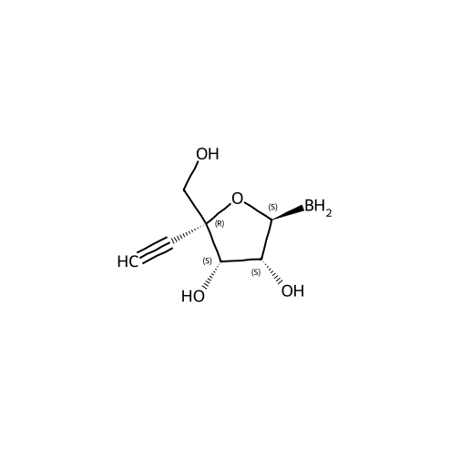 B[C@@H]1O[C@](C#C)(CO)[C@@H](O)[C@H]1O